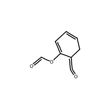 O=[C]OC1=CC=CCC1=C=O